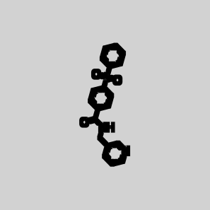 O=C(NCc1cccnc1)c1ccc(S(=O)(=O)c2ccccc2)cc1